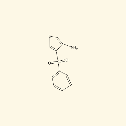 Nc1cscc1S(=O)(=O)c1ccccc1